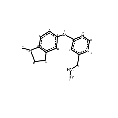 CC(C)NCc1cc(Oc2ccc3c(c2)CCN3C)ncn1